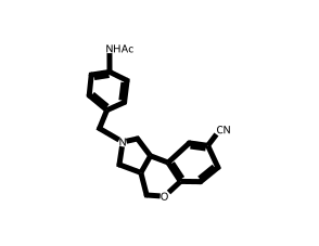 CC(=O)Nc1ccc(CN2CC3COc4ccc(C#N)cc4C3C2)cc1